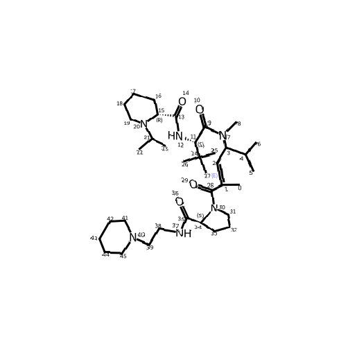 C/C(=C\C(C(C)C)N(C)C(=O)[C@@H](NC(=O)[C@H]1CCCCN1C(C)C)C(C)(C)C)C(=O)N1CCC[C@H]1C(=O)NCCN1CCCCC1